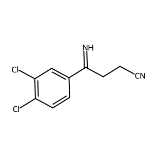 N#CCCC(=N)c1ccc(Cl)c(Cl)c1